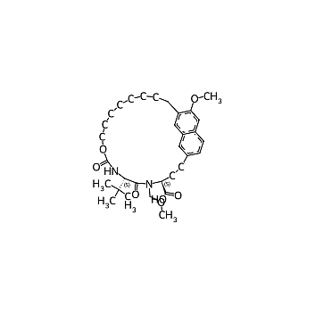 COCN1C(=O)[C@H](C(C)(C)C)NC(=O)OCCCCCCCCc2cc3cc(ccc3cc2OC)CC[C@H]1C(=O)O